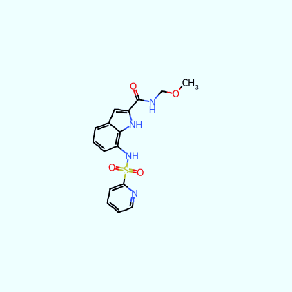 COCNC(=O)c1cc2cccc(NS(=O)(=O)c3ccccn3)c2[nH]1